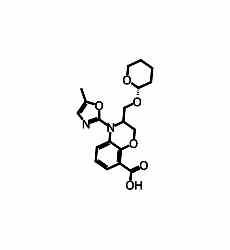 Cc1cnc(N2c3cccc(C(=O)O)c3OCC2CO[C@H]2CCCCO2)o1